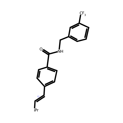 CC(C)/C=C/c1ccc(C(=O)NCc2cccc(C(F)(F)F)c2)cc1